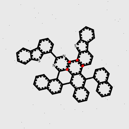 c1ccc2c(-c3c4ccccc4c(-c4ccc5ccccc5c4-c4nc(-c5cccc6c5sc5ccccc56)nc(-c5cccc6c5sc5ccccc56)n4)c4ccccc34)cccc2c1